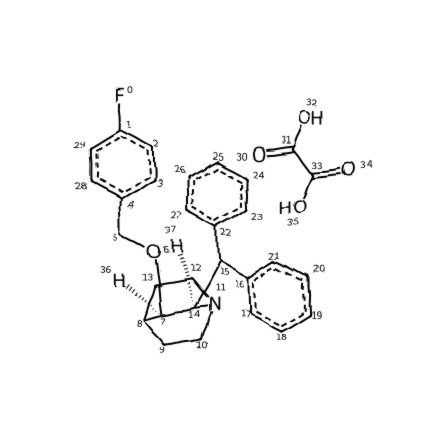 Fc1ccc(CO[C@@H]2C3CCN(CC3)[C@@H]2C(c2ccccc2)c2ccccc2)cc1.O=C(O)C(=O)O